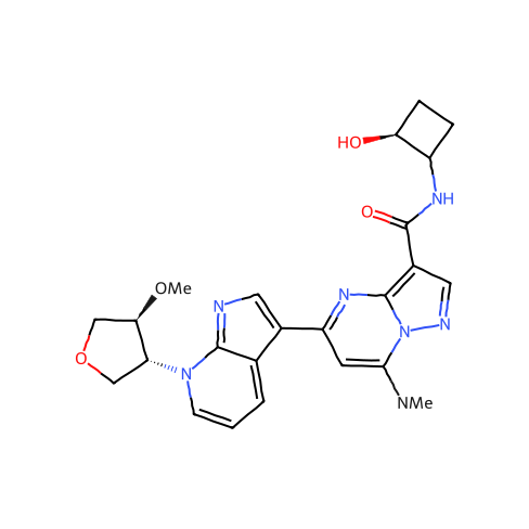 CNc1cc(-c2cnc3n([C@@H]4COC[C@H]4OC)cccc2-3)nc2c(C(=O)NC3CC[C@@H]3O)cnn12